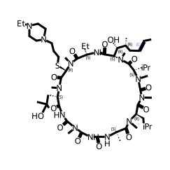 C/C=C/C[C@@H](C)[C@@H](O)[C@H]1C(=O)N[C@@H](CC)C(=O)N(C)[C@H](SCCCN2CCN(CC)CC2)C(=O)N(C)[C@@H](CC(C)(C)O)C(=O)NC(=O)N(C)C(=O)NC(=O)N[C@@H](C)C(=O)N(C)[C@H](CC(C)C)C(=O)N(C)C(=O)N(C)[C@@H](C(C)C)C(=O)N1C